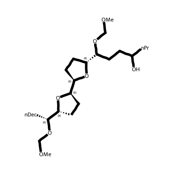 CCCCCCCCCC[C@@H](OCOC)[C@H]1CC[C@H]([C@H]2CC[C@H](C(CCC(O)CCC)OCOC)O2)O1